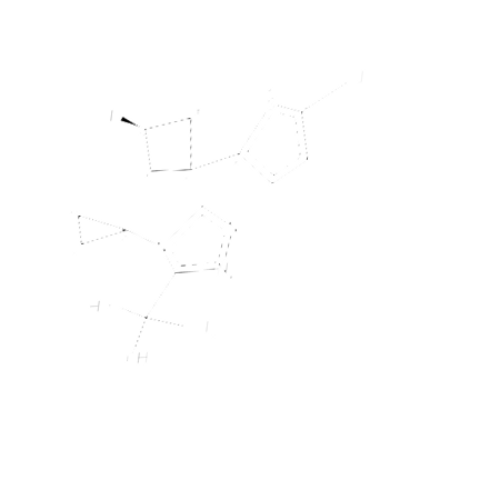 CC(C)(C)c1nnc([C@]2(c3ccc(Cl)s3)C[C@@H](F)C2)n1C1CC1